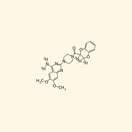 [2H]N([2H])c1nc(N2CCN(C(=O)C3([2H])Oc4ccccc4OC3([2H])[2H])CC2)nc2cc(OC)c(OC)cc12